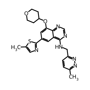 Cc1ccc(CNc2ncnc3c(OC4CCOCC4)cc(-c4ncc(C)s4)cc23)nn1